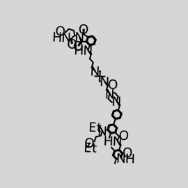 CCOCCCN(CC)c1cc(-c2ccc(CN3CCN(CC(=O)N4CC5(CN(CCCCNc6cccc7c6C(=O)N(C6CCC(=O)NC6=O)C7=O)C5)C4)CC3)cc2)cc(C(=O)NCc2c(C)cc(C)[nH]c2=O)c1C